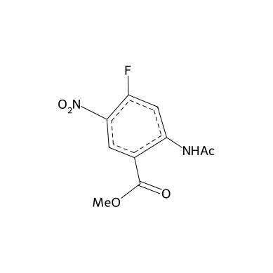 COC(=O)c1cc([N+](=O)[O-])c(F)cc1NC(C)=O